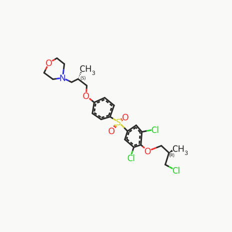 C[C@H](COc1ccc(S(=O)(=O)c2cc(Cl)c(OC[C@@H](C)CCl)c(Cl)c2)cc1)CN1CCOCC1